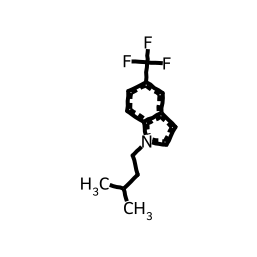 CC(C)CCn1ccc2cc(C(F)(F)F)ccc21